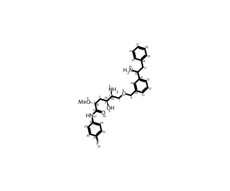 CO[C@H](C[C@H](O)[C@@H](N)COCc1cccc(C(N)Cc2ccccc2)c1)C(=O)Nc1ccc(F)cc1